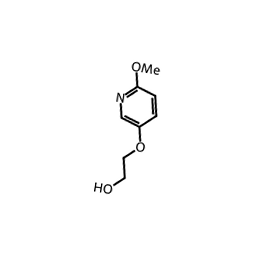 COc1ccc(OCCO)cn1